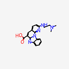 CN(C)CCNc1ccc2cc(C(=O)O)c3nc4ccccc4n3c2n1